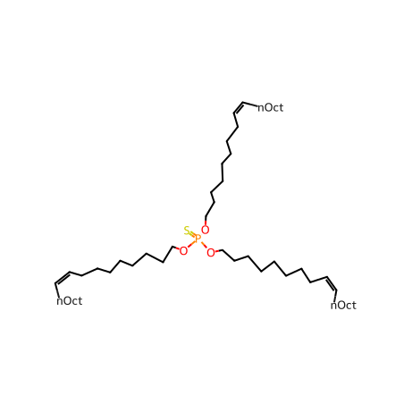 CCCCCCCC/C=C\CCCCCCCCOP(=S)(OCCCCCCCC/C=C\CCCCCCCC)OCCCCCCCC/C=C\CCCCCCCC